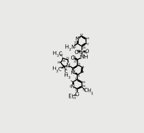 CCOc1ncc(-c2ccc(C(=O)NS(=O)(=O)c3cccnc3N)c(N3C[C@@H](C)CC3(C)C)n2)cc1C